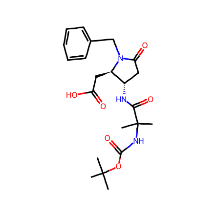 CC(C)(C)OC(=O)NC(C)(C)C(=O)N[C@H]1CC(=O)N(Cc2ccccc2)[C@@H]1CC(=O)O